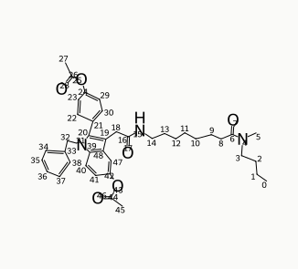 CCCCN(C)C(=O)CCCCCCCNC(=O)Cc1c(-c2ccc(OC(C)=O)cc2)n(Cc2ccccc2)c2ccc(OC(C)=O)cc12